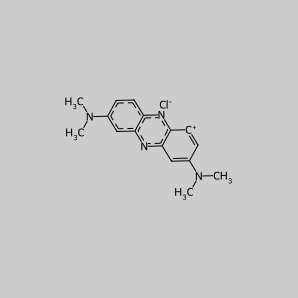 CN(C)C1=Cc2nc3cc(N(C)C)ccc3nc2[C+]=C1.[Cl-]